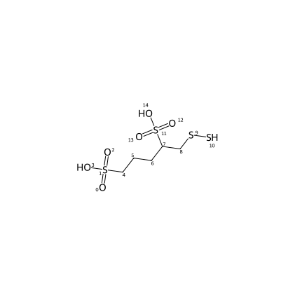 O=S(=O)(O)CCCC(CSS)S(=O)(=O)O